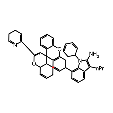 CCCc1c(N)n(C2C=CC=CC2)c2c(C3C=CC4=C(C3)Oc3ccccc3C43C4C=CC(C5=CCCC=N5)=CC4OC4C=CCCC43)cccc12